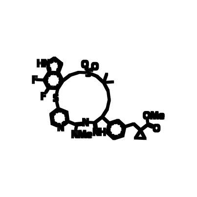 CN/C1=N\C(=N)C(c2cccc(CC3(C(=O)OC)CC3)c2)CCCC(C)(C)CS(=O)(=O)CCc2c(c(F)c(F)c3[nH]ccc23)Sc2ccnc1c2